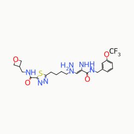 N/C(=C\N(N)CCCCc1nnc(C(=O)NCC2COC2)s1)C(=O)NCc1cccc(OC(F)(F)F)c1